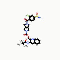 CC(C)(C)C(=O)Nc1cc2ccccc2nc1COC(=O)N1CC2=C(C1)CN(C(=O)c1ccc([S+](N)[O-])cc1F)C2